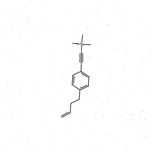 C=CCCc1ccc(C#C[Si](C)(C)C)cc1